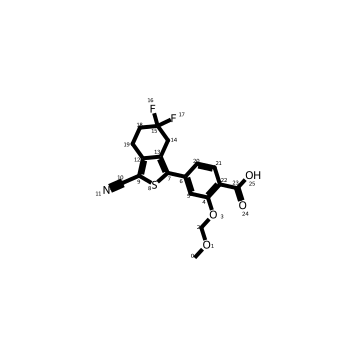 COCOc1cc(-c2sc(C#N)c3c2CC(F)(F)CC3)ccc1C(=O)O